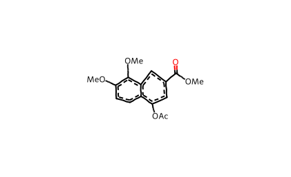 COC(=O)c1cc(OC(C)=O)c2ccc(OC)c(OC)c2c1